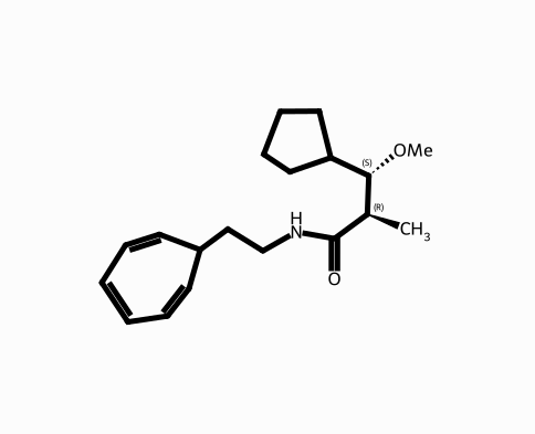 CO[C@@H](C1CCCC1)[C@@H](C)C(=O)NCCC1C=CC=CC=C1